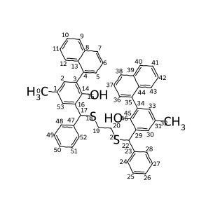 Cc1cc(-c2cccc3ccccc23)c(O)c(C(SCCSC(c2ccccc2)c2cc(C)cc(-c3cccc4ccccc34)c2O)c2ccccc2)c1